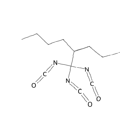 CCCCC(CCC)C(N=C=O)(N=C=O)N=C=O